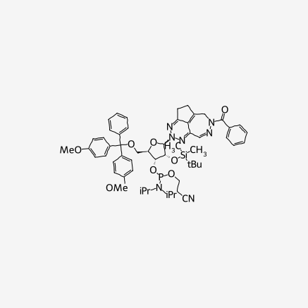 COc1ccc(C(OC[C@H]2O[C@@H](N3N=C4C=NN(C(=O)c5ccccc5)CC5=C4C(=N3)CC5)[C@H](O[Si](C)(C)C(C)(C)C)[C@@H]2OP(OCCC#N)N(C(C)C)C(C)C)(c2ccccc2)c2ccc(OC)cc2)cc1